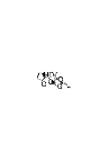 CCC[C@H]1OC[C@@H](OCc2ccccc2OC)[C@@H](C(C)O)O1